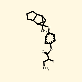 CCC(I)C(=O)Oc1ccc(OC2(C)CC3CC2C2CCCC32)cc1